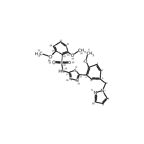 COc1ccc(Cn2cccn2)cc1-c1nnc(NS(=O)(=O)c2c(OC)cccc2OC)s1